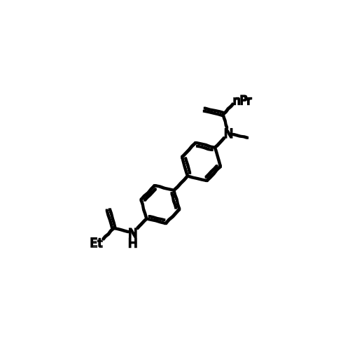 C=C(CC)Nc1ccc(-c2ccc(N(C)C(=C)CCC)cc2)cc1